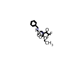 CCOC(=O)/C(=C\N(C)/N=C/c1ccccc1)C(=O)C(F)F